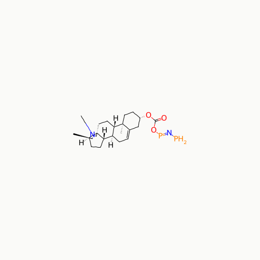 C[C@H]1[C@H]2CC[C@H]3[C@@H]4CC=C5C[C@@H](OC(=O)O/P=N/P)CC[C@]5(C)[C@H]4CC[C@]23CN1C